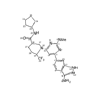 CNc1nc(-c2ccc3c(N)n[nH]c3c2)cc(N2CC(C(=O)NC3CCCC3)CCC2C(F)(F)F)n1